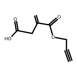 C#CCOC(=O)C(=C)CC(=O)O